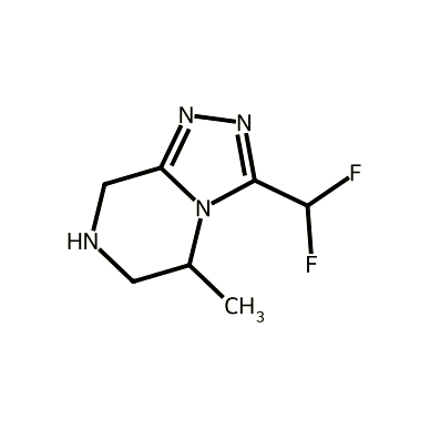 CC1CNCc2nnc(C(F)F)n21